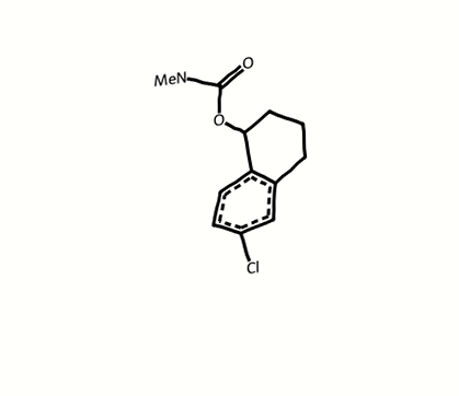 CNC(=O)OC1CCCc2cc(Cl)ccc21